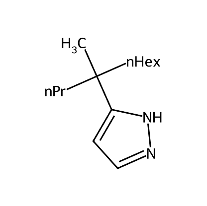 CCCCCCC(C)(CCC)c1ccn[nH]1